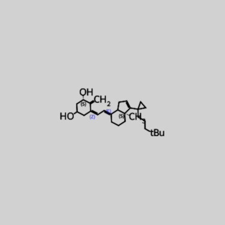 C=C1/C(=C\C=C2/CCC[C@]3(C)C(C4(CCCC(C)(C)C)CC4)=CCC23)CC(O)C[C@@H]1O